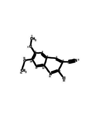 COc1cc2cc(C#N)c(Cl)nc2cc1OC